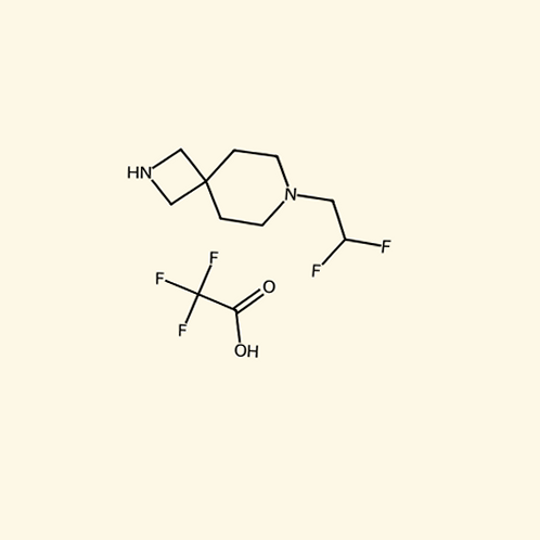 FC(F)CN1CCC2(CC1)CNC2.O=C(O)C(F)(F)F